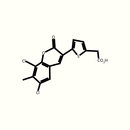 Cc1c(Cl)cc2cc(-c3ccc(CC(=O)O)s3)c(=O)oc2c1Cl